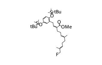 COC(=O)C(=CCc1cc(O[Si](C)(C)C(C)(C)C)ccc1O[Si](C)(C)C(C)(C)C)CC/C=C(\C)CC/C=C(\C)CF